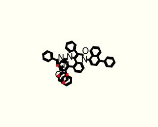 O=c1c2c3ccccc3n(-c3nc(-c4ccccc4)cc(-c4ccccc4)n3)c2c2c(-c3cccc4oc5ccccc5c34)cccc2n1-c1ccc(-c2ccccc2)c2ccccc12